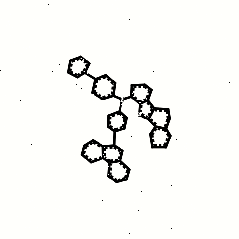 c1ccc(-c2ccc(N(c3ccc(-c4cc5ccccc5c5ccccc45)cc3)c3cccc4c3sc3c5ccccc5ccc43)cc2)cc1